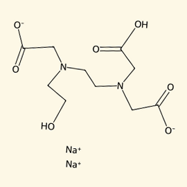 O=C([O-])CN(CCO)CCN(CC(=O)[O-])CC(=O)O.[Na+].[Na+]